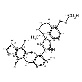 C[C@]1(c2c[nH]c(-c3cc(Oc4c(F)c(F)c5[nH]ccc5c4F)ccc3F)n2)CCOc2c(CCC(=O)O)cccc21